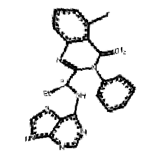 C=C1c2c(F)cccc2N=C([C@H](CC)Nc2ncnc3[nH]cnc23)N1c1ccccc1